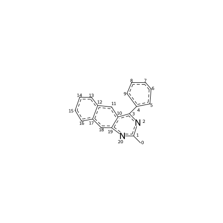 Cc1nc(-c2ccccc2)c2cc3ccccc3cc2n1